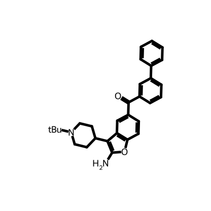 CC(C)(C)N1CCC(c2c(N)oc3ccc(C(=O)c4cccc(-c5ccccc5)c4)cc23)CC1